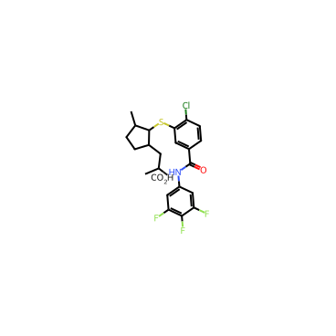 CC(CC1CCC(C)C1Sc1cc(C(=O)Nc2cc(F)c(F)c(F)c2)ccc1Cl)C(=O)O